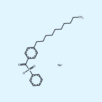 CCCCCCCCCCc1ccc(C(=O)P(=O)([O-])c2ccccc2)cc1.[Na+]